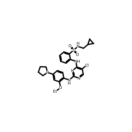 CCOc1cc(N2CCCC2)ccc1Nc1ncc(Cl)c(Nc2ccccc2S(=O)(=O)NCC2CC2)n1